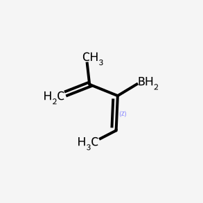 B/C(=C/C)C(=C)C